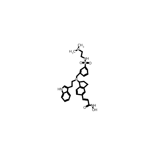 CN(C)CCNS(=O)(=O)c1cccc(CN(CCc2c[nH]c3ccccc23)C2CCc3cc(C=CC(=O)NO)ccc32)c1